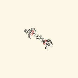 CC1(C)OB(C=Cc2ccc(C=CB3OC(C)(C)C(C)(C)O3)cc2)OC1(C)C